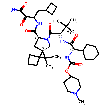 CN1CCC(OC(=O)N[C@H](C(=O)N[C@H](C(=O)N2C[C@]3(C[C@H]2C(=O)NC(CC2CCC2)C(=O)C(N)=O)C(C)(C)C32CCC2)C(C)(C)C)C2CCCCC2)CC1